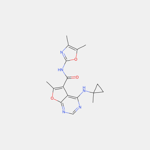 Cc1nc(NC(=O)c2c(C)oc3ncnc(NC4(C)CC4)c23)oc1C